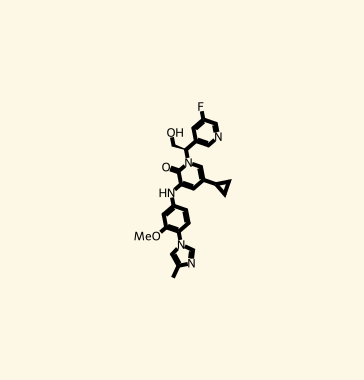 COc1cc(Nc2cc(C3CC3)cn([C@@H](CO)c3cncc(F)c3)c2=O)ccc1-n1cnc(C)c1